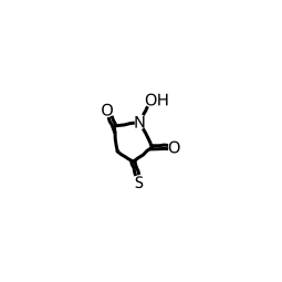 O=C1CC(=S)C(=O)N1O